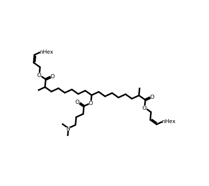 CCCCCC/C=C\COC(=O)C(C)CCCCCCC(CCCCCCC(C)C(=O)OC/C=C\CCCCCC)OC(=O)CCCN(C)C